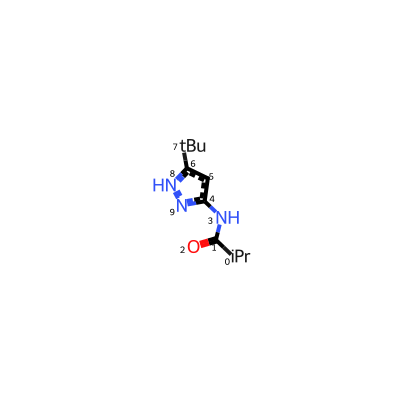 CC(C)C(=O)Nc1cc(C(C)(C)C)[nH]n1